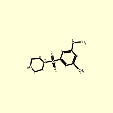 COc1cc(C)cc(S(=O)(=O)N2CCOCC2)c1